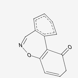 O=C1CC=CC2=C1c1ccccc1C=NO2